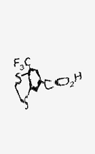 O=C(O)c1cc2c(c(C(F)(F)F)c1)SCCS2